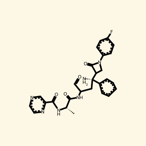 C[C@H](NC(=O)c1cnccn1)C(=O)NC(C=O)C[C@](N)(c1ccccc1)C1CN(c2ccc(F)cc2)C1=O